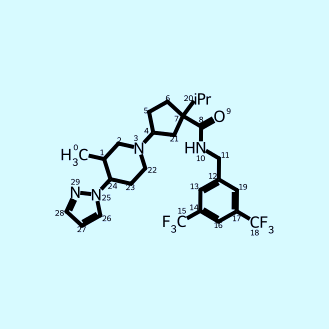 CC1CN(C2CCC(C(=O)NCc3cc(C(F)(F)F)cc(C(F)(F)F)c3)(C(C)C)C2)CCC1n1cccn1